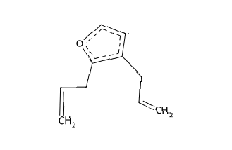 C=CCc1[c]coc1CC=C